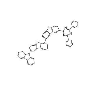 c1ccc(-c2nc(-c3ccccc3)nc(-c3ccc4sc5ccc(-c6cccc7c6sc6ccc(-n8c9ccccc9c9ccccc98)cc67)cc5c4c3)n2)cc1